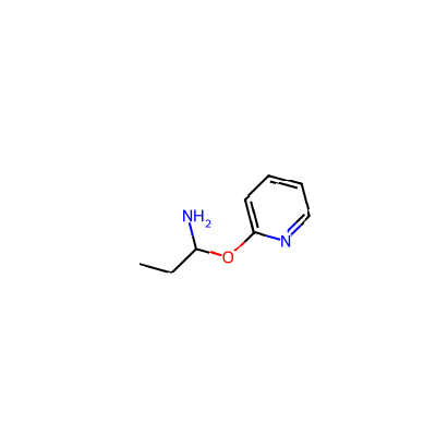 CCC(N)Oc1ccccn1